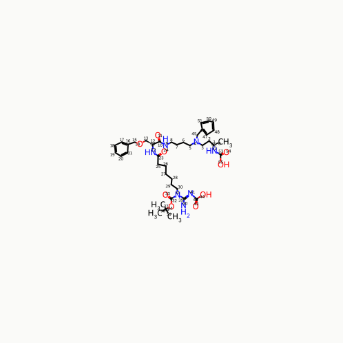 C[C@H](CCN(CCCCNC(=O)[C@H](COCc1ccccc1)NC(=O)CCCCCCN(C(=O)OC(C)(C)C)C(N)=NC(=O)O)Cc1ccccc1)NC(=O)O